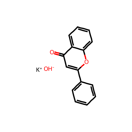 O=c1cc(-c2ccccc2)oc2ccccc12.[K+].[OH-]